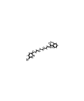 CC(=O)c1ccccc1C(=O)NCCOCCOCCOc1ccc(Br)cn1